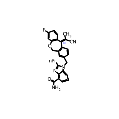 CCCc1nc2c(C(N)=O)cccc2n1Cc1ccc2c(c1)COc1cc(F)ccc1/C2=C(\C)C#N